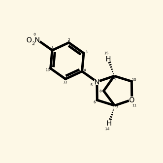 O=[N+]([O-])c1ccc(N2C[C@H]3C[C@@H]2CO3)cc1